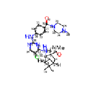 CNC(=O)[C@H]1C[C@H]2C[C@H](C2(C)C)[C@@]1(C)Nc1nc(Nc2ccc(C(=O)N3CCN(C)CC3)cc2)ncc1Cl